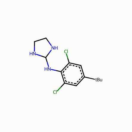 CC(C)(C)c1cc(Cl)c(NC2NCCN2)c(Cl)c1